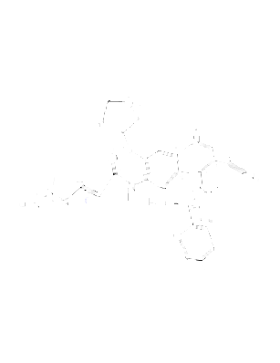 C[C@@H](Nc1c(C#N)cnc2cc(OC3CCOC3)c(NC(=O)/C=C/CNN)cc12)c1ccccc1